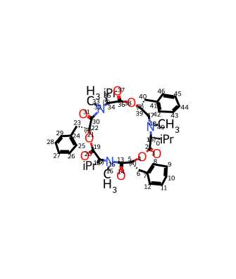 CC(C)[C@H]1C(=O)O[C@H](Cc2ccccc2)C(=O)N(C)[C@@H](C(C)C)C(=O)O[C@H](Cc2ccccc2)C(=O)N(C)[C@@H](C(C)C)C(=O)O[C@H](Cc2ccccc2)CN1C